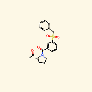 CC(=O)[C@H]1CCCN1C(=O)c1cccc(S(=O)(=O)Cc2ccccc2)c1